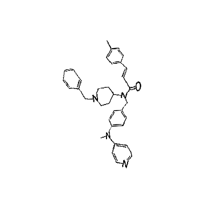 Cc1ccc(C=CC(=O)N(Cc2ccc(N(C)c3ccncc3)cc2)C2CCN(Cc3ccccc3)CC2)cc1